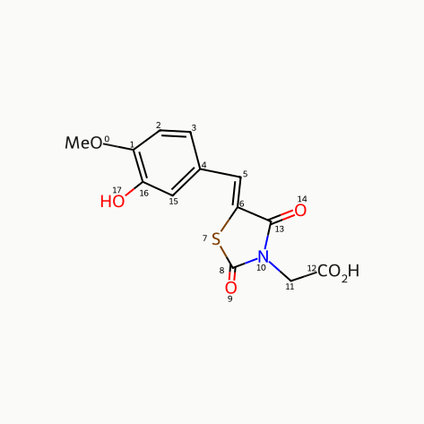 COc1ccc(/C=C2\SC(=O)N(CC(=O)O)C2=O)cc1O